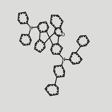 c1ccc(-c2ccc(N(c3cccc(-c4ccccc4)c3)c3ccc4c(c3)-c3oc5ccccc5c3C43c4ccccc4-c4c(N(c5ccccc5)c5ccccc5)cccc43)cc2)cc1